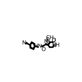 [2H]N1CCc2c(C(=O)NCc3ccc(C#N)cc3)nn(C)c2C1=O